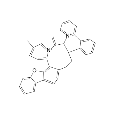 C=C1C2C(CCc3ccc4c(oc5ccccc54)c3-c3ccc(C)c[n+]31)c1ccccc1-c1cccc[n+]12